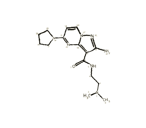 CN(C)CCNC(=O)c1c(N)nn2ccc(N3CCCC3)nc12